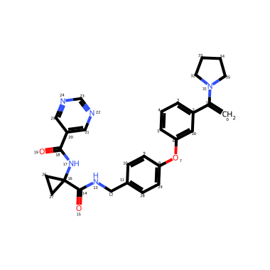 C=C(c1cccc(Oc2ccc(CNC(=O)C3(NC(=O)c4cncnc4)CC3)cc2)c1)N1CCCC1